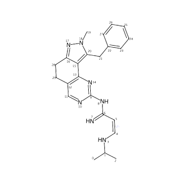 CC(C)N/C=C\C(=N)Nc1ncc2c(n1)-c1c(nn(C)c1Cc1ccccc1)CC2